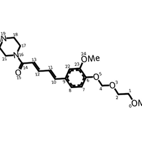 COCCOCOc1ccc(C=CC=CC(=O)N2CCNCC2)cc1OC